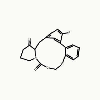 O=C1CCCN2C(=O)CCOc3ccccc3-c3cc(ccc3F)CC12